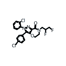 O=C1c2nn(-c3ccccc3Cl)c(-c3ccc(Cl)cc3)c2OCCN1CC(F)CF